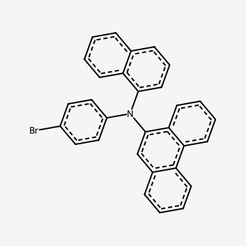 Brc1ccc(N(c2cccc3ccccc23)c2cc3ccccc3c3ccccc23)cc1